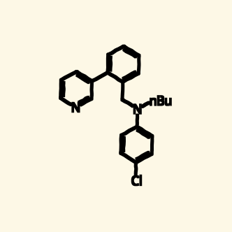 CCCCN(Cc1ccccc1-c1cccnc1)c1ccc(Cl)cc1